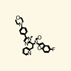 Cn1c(-c2ccc(N3CCOCC3)cc2)cnc1C(Cc1ccccn1)N(C=O)c1cc2cc(F)ccc2o1